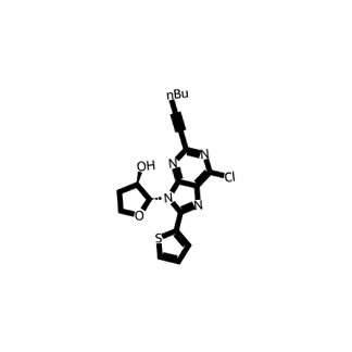 CCCCC#Cc1nc(Cl)c2nc(-c3cccs3)n([C@@H]3OCC[C@H]3O)c2n1